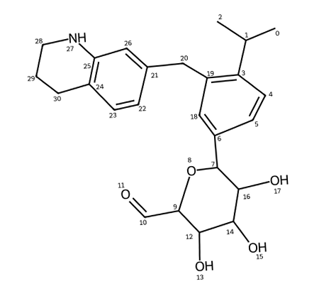 CC(C)c1ccc(C2OC(C=O)C(O)C(O)C2O)cc1Cc1ccc2c(c1)NCCC2